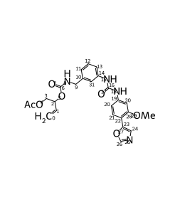 C=CC(COC(C)=O)OC(=O)NCc1cccc(NC(=O)Nc2ccc(-c3cnco3)c(OC)c2)c1